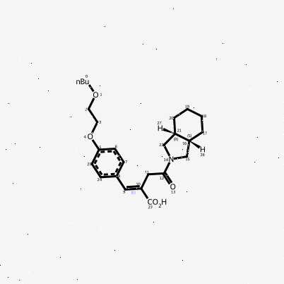 CCCCOCCOc1ccc(/C=C(\CC(=O)N2C[C@H]3CCCC[C@H]3C2)C(=O)O)cc1